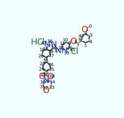 COc1cccc(COc2ccc(Nc3ncnc4ccc(-c5ccc(S(=O)(=O)N6CCOCC6)cc5)cc34)cc2Cl)c1.Cl